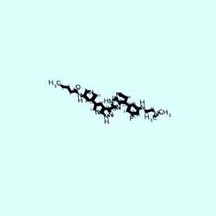 CCCCC(=O)Nc1cncc(-c2cnc3[nH]nc(-c4nc5c(-c6cc(F)cc(NCCN(C)C)c6)ccnc5[nH]4)c3c2)c1